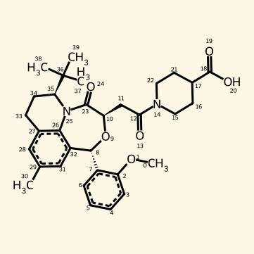 COc1ccccc1[C@H]1O[C@H](CC(=O)N2CCC(C(=O)O)CC2)C(=O)N2c3c(cc(C)cc31)CC[C@H]2C(C)(C)C